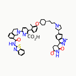 Cc1c(O[C@H]2CC[C@H](CCCN3CC[C@@H](c4ccc5c(C6CCC(=O)NC6=O)nn(C)c5c4)C3)CC2)cccc1-c1ccc(N2CCc3cccc(C(=O)Nc4nc5ccccc5s4)c3C2)nc1C(=O)O